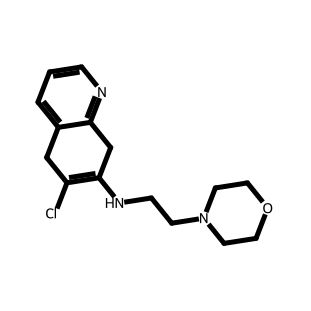 ClC1=C(NCCN2CCOCC2)Cc2ncccc2C1